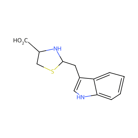 O=C(O)C1CSC(Cc2c[nH]c3ccccc23)N1